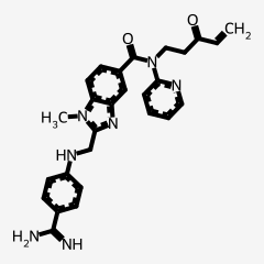 C=CC(=O)CCN(C(=O)c1ccc2c(c1)nc(CNc1ccc(C(=N)N)cc1)n2C)c1ccccn1